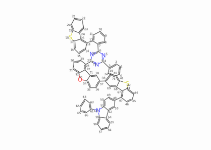 c1ccc(-c2nc(-c3ccccc3-c3cccc4sc5ccccc5c34)nc(-c3cccc4oc5ccc(-c6ccc7sc8cccc(-c9ccc%10c(c9)c9ccccc9n%10-c9ccccc9)c8c7c6)cc5c34)n2)cc1